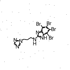 Brc1c(Br)c(Br)c2[nH]c(NCCCn3cncn3)nc2c1Br